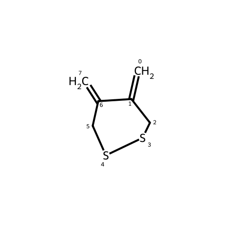 C=C1CSSCC1=C